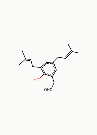 CC(C)=CCc1cc(CC=O)c(O)c(CC=C(C)C)c1